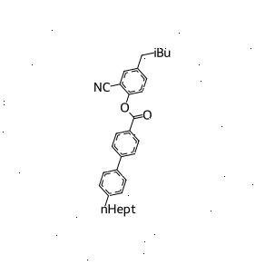 CCCCCCCc1ccc(-c2ccc(C(=O)Oc3ccc(CC(C)CC)cc3C#N)cc2)cc1